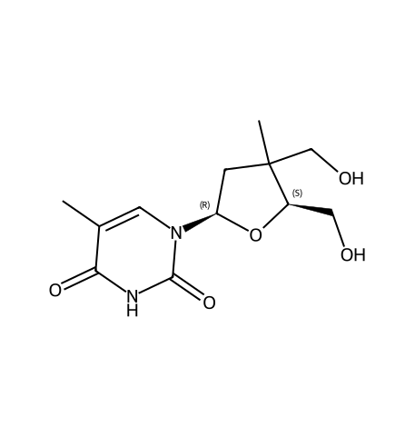 Cc1cn([C@H]2CC(C)(CO)[C@@H](CO)O2)c(=O)[nH]c1=O